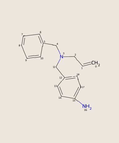 C=CCN(Cc1ccccc1)Cc1ccc(N)cc1